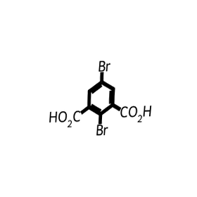 O=C(O)c1cc(Br)cc(C(=O)O)c1Br